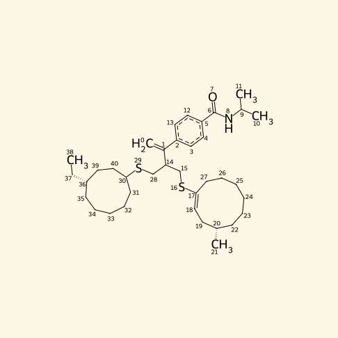 C=C(c1ccc(C(=O)NC(C)C)cc1)C(CS/C1=C/C[C@@H](C)CCCCCC1)CSC1CCCCC[C@H](CC)CC1